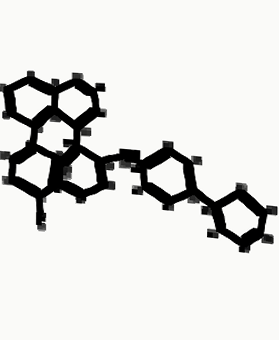 Fc1ccc(-c2cccc3cccc(-c4ccccc4Nc4ccc(-c5ccccc5)cc4)c23)cc1